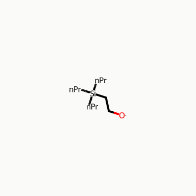 CCC[Si](CCC)(CCC)CC[O]